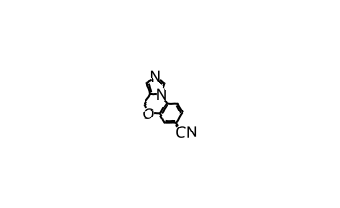 N#Cc1ccc2c(c1)OCc1cncn1-2